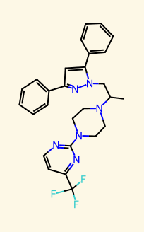 CC(Cn1nc(-c2ccccc2)cc1-c1ccccc1)N1CCN(c2nccc(C(F)(F)F)n2)CC1